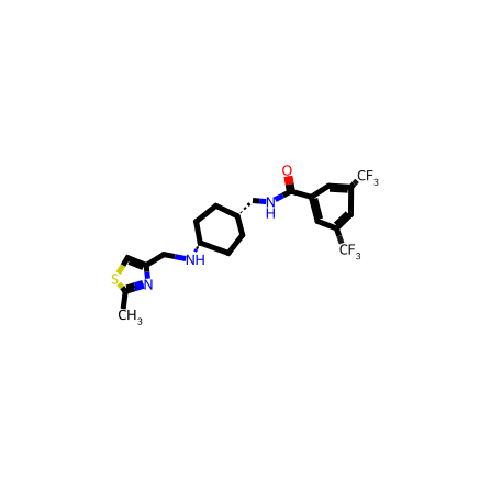 Cc1nc(CN[C@H]2CC[C@@H](CNC(=O)c3cc(C(F)(F)F)cc(C(F)(F)F)c3)CC2)cs1